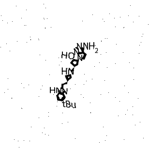 CC(C)(C)c1ccc2[nH]c(CC[C@H]3C[C@H](NC[C@@H]4C[C@@H](O)[C@H](n5ccc6c(N)ncnc65)C4)C3)nc2c1